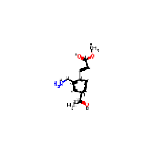 COC(=O)C=Cc1ccc(C(C)=O)cc1CN